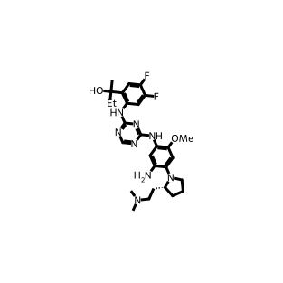 CCC(C)(O)c1cc(F)c(F)cc1Nc1ncnc(Nc2cc(N)c(N3CCC[C@@H]3CCN(C)C)cc2OC)n1